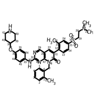 Cc1ccccc1Cn1c(=O)c(-c2ccc(S(=O)(=O)CCN(C)C)cc2C)cc2cnc(Nc3ccc(OC4CCNCC4)cc3)nc21